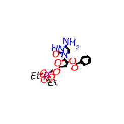 CCOP(=O)(CO[C@@H]1C[C@@H](OC(=O)c2ccccc2)[C@H](N2C=CC(N)NC2=O)O1)OCC